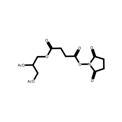 CC(=O)OCC(COC(=O)CCC(=O)ON1C(=O)CCC1=O)OC(C)=O